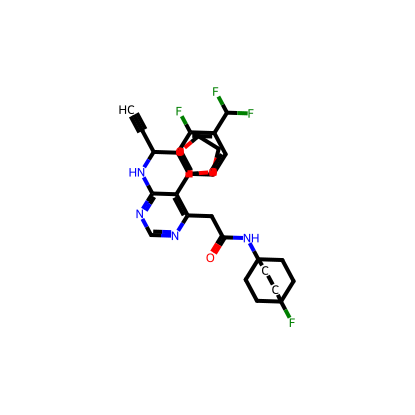 C#CC(Nc1ncnc(CC(=O)NC23CCC(F)(CC2)CC3)c1C1OCCO1)c1cccc(C(F)F)c1F